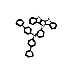 c1ccc(-c2ccc(N(c3ccc(-c4ccccc4)cc3)c3cccc(N4c5c(sc6ccccc56)C5Sc6ccccc6C54)c3)cc2)cc1